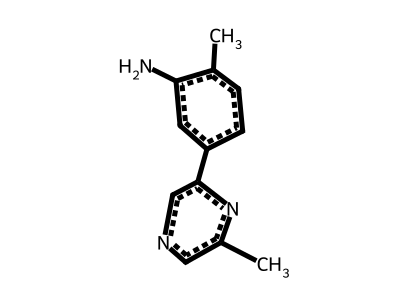 Cc1cncc(-c2ccc(C)c(N)c2)n1